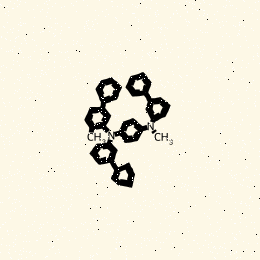 Cc1ccc(-c2ccccc2)cc1N(c1ccc(N(C)c2cccc(-c3ccccc3)c2)cc1)c1cccc(C2=CC=C=C=C2)c1